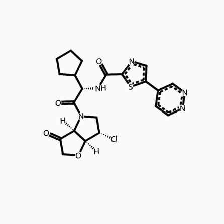 O=C(N[C@H](C(=O)N1C[C@H](Cl)[C@H]2OCC(=O)[C@H]21)C1CCCC1)c1ncc(-c2ccnnc2)s1